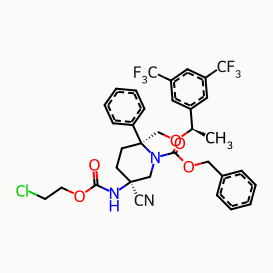 C[C@@H](OC[C@@]1(c2ccccc2)CC[C@](C#N)(NC(=O)OCCCl)CN1C(=O)OCc1ccccc1)c1cc(C(F)(F)F)cc(C(F)(F)F)c1